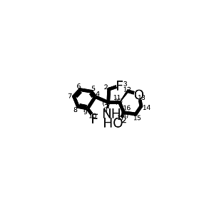 N[C@](CF)(c1ccccc1F)[C@H]1COCC[C@H]1O